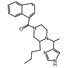 CCCCC1CN(C(=O)c2cccc3ccccc23)CCN1C(C)c1c[nH]cn1